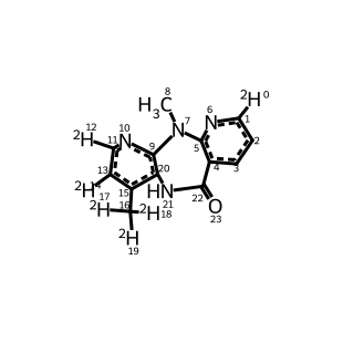 [2H]c1ccc2c(n1)N(C)c1nc([2H])c([2H])c(C([2H])([2H])[2H])c1NC2=O